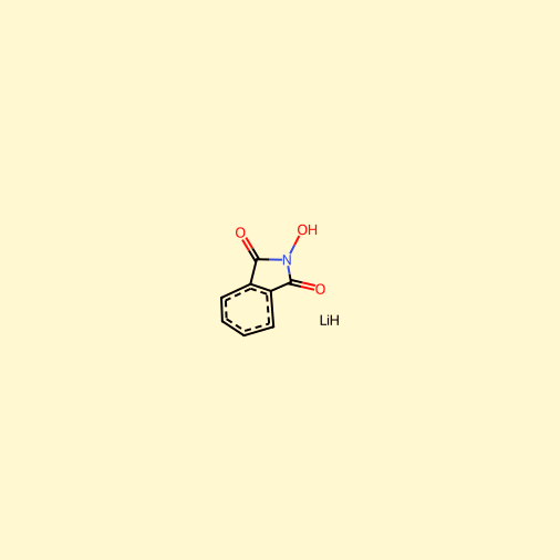 O=C1c2ccccc2C(=O)N1O.[LiH]